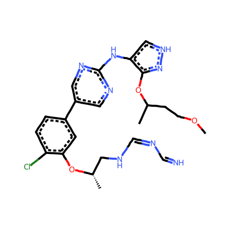 COCCC(C)Oc1n[nH]cc1Nc1ncc(-c2ccc(Cl)c(O[C@@H](C)CN/C=N\C=N)c2)cn1